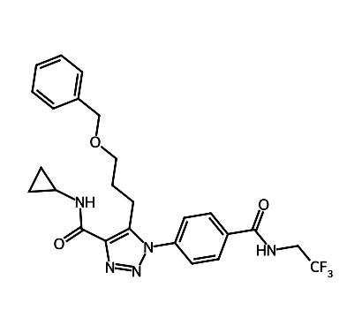 O=C(NCC(F)(F)F)c1ccc(-n2nnc(C(=O)NC3CC3)c2CCCOCc2ccccc2)cc1